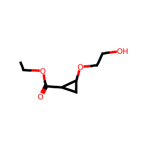 CCOC(=O)C1CC1OCCO